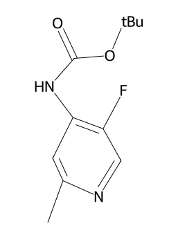 Cc1cc(NC(=O)OC(C)(C)C)c(F)cn1